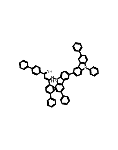 N=C(/C=C(\Nn1c2ccc(-c3ccccc3)cc2c2cc(-c3ccc4c(c3)c3cc(-c5ccccc5)ccc3n4-c3ccccc3)ccc21)c1ccc(-c2ccccc2)cc1)c1ccc(-c2ccccc2)cc1